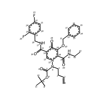 C=CCCN(C(=O)OC(C)(C)C)n1cc(C(=O)NCc2ccc(F)cc2F)c(=O)c(OCc2ccccc2)c1C(=O)NCC